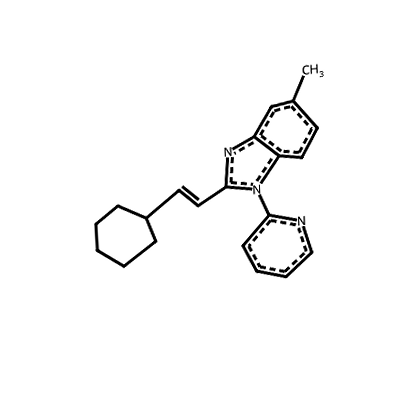 Cc1ccc2c(c1)nc(C=CC1CCCCC1)n2-c1ccccn1